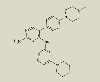 CN1CCN(c2ccc(-c3cnc(N)nc3Nc3cccc(N4CCCCC4)c3)cc2)CC1